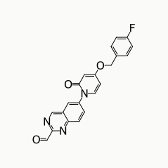 O=Cc1ncc2cc(-n3ccc(OCc4ccc(F)cc4)cc3=O)ccc2n1